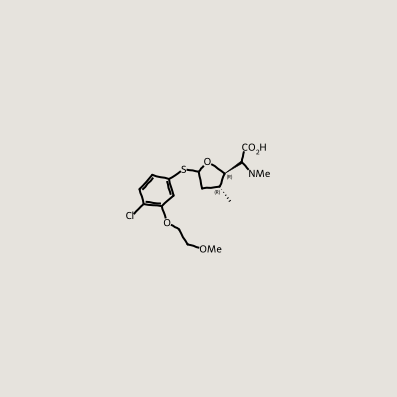 CNC(C(=O)O)[C@@H]1OC(Sc2ccc(Cl)c(OCCOC)c2)C[C@H]1C